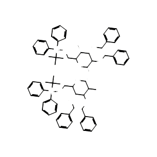 CC1C(OCc2ccccc2)[C@H](OCc2ccccc2)C(CO[Si](c2ccccc2)(c2ccccc2)C(C)(C)C)O[C@@H]1O[C@H]1OC(CO[Si](c2ccccc2)(c2ccccc2)C(C)(C)C)[C@@H](C)[C@H](OCc2ccccc2)C1OCc1ccccc1